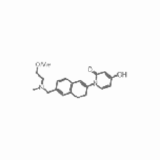 COCCN(C)Cc1ccc2c(c1)CCC(n1ccc(O)cc1=O)=C2